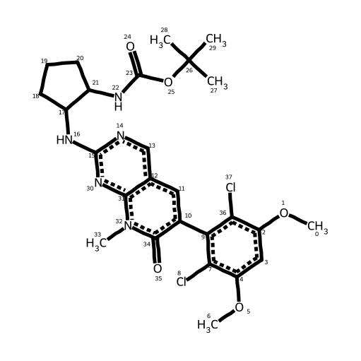 COc1cc(OC)c(Cl)c(-c2cc3cnc(NC4CCCC4NC(=O)OC(C)(C)C)nc3n(C)c2=O)c1Cl